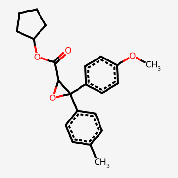 COc1ccc(C2(c3ccc(C)cc3)OC2C(=O)OC2CCCC2)cc1